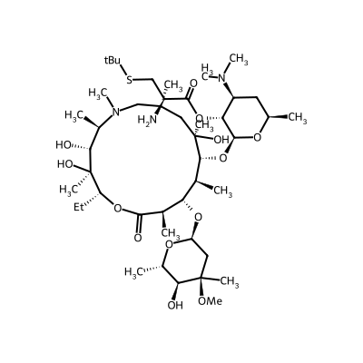 CC[C@H]1OC(=O)[C@H](C)[C@@H](O[C@H]2C[C@@](C)(OC)[C@@H](O)[C@H](C)O2)[C@H](C)[C@@H](O[C@@H]2O[C@H](C)C[C@H](N(C)C)[C@H]2OC(=O)[C@@H](N)CSC(C)(C)C)[C@](C)(O)C[C@@H](C)CN(C)[C@H](C)[C@@H](O)[C@]1(C)O